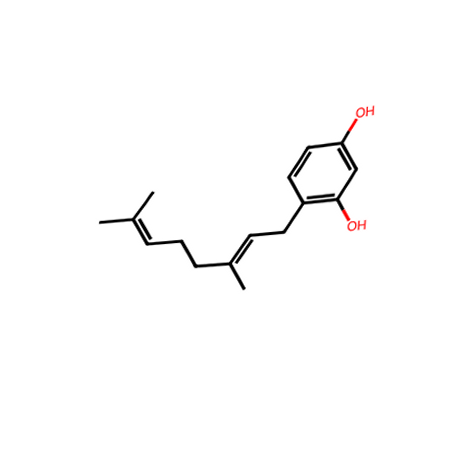 CC(C)=CCC/C(C)=C/Cc1ccc(O)cc1O